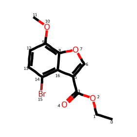 CCOC(=O)c1coc2c(OC)ccc(Br)c12